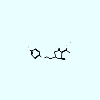 CCONC(C)=C1C(=O)CC(CCSc2ccc(OC(F)(F)F)cc2)CC1=O